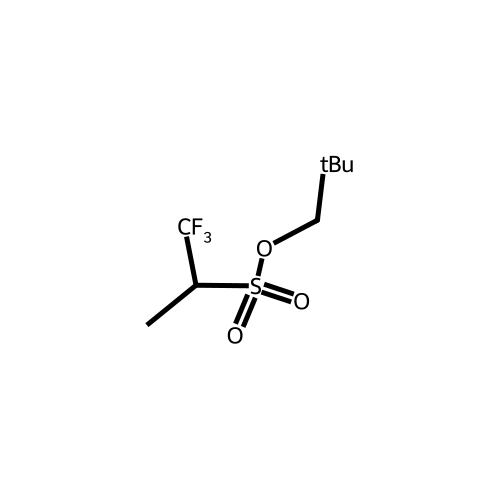 CC(C(F)(F)F)S(=O)(=O)OCC(C)(C)C